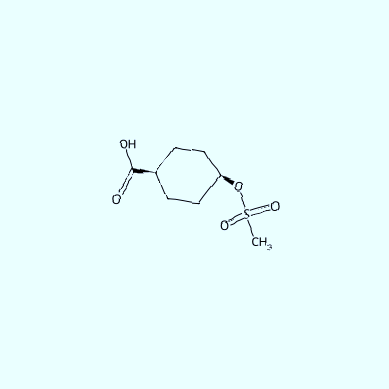 CS(=O)(=O)O[C@H]1CC[C@@H](C(=O)O)CC1